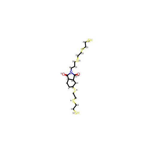 O=C1C2CCC(SCCSCCS)CC2C(=O)N1CCCSCCSCCS